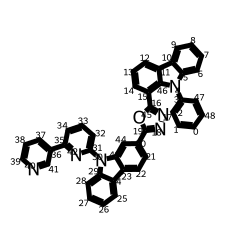 c1ccc(-n2c3ccccc3c3cccc(-c4nnc(-c5ccc6c7ccccc7n(-c7cccc(-c8cccnc8)n7)c6c5)o4)c32)cc1